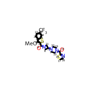 COc1c(C(=O)N2CC(N3CCN(C(=O)c4nccs4)CC3)C2)sc2cc(C(F)(F)F)ccc12